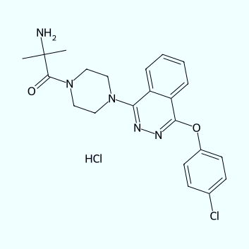 CC(C)(N)C(=O)N1CCN(c2nnc(Oc3ccc(Cl)cc3)c3ccccc23)CC1.Cl